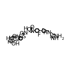 N=N/C(=C\N)CNCc1ccc(-c2ccc(N3C[C@H](CNC(=O)Sc4ccc(CC([PH](=O)O)[PH](O)(O)O)cc4)OC3=O)cc2F)cc1